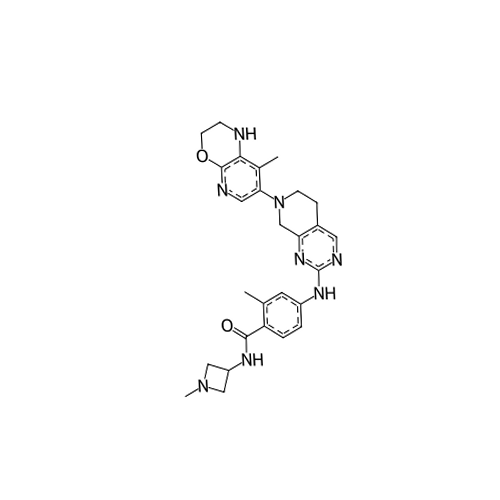 Cc1cc(Nc2ncc3c(n2)CN(c2cnc4c(c2C)NCCO4)CC3)ccc1C(=O)NC1CN(C)C1